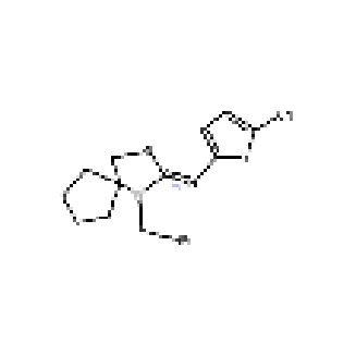 CC(C)CN1/C(=N/c2ccc(C#N)s2)SCC12CCCC2